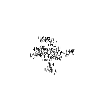 C[C@@H](CN[C@@H]1CC=C(CNC(=O)OCc2ccc([N+](=O)[O-])cc2)O[C@@H]1O[C@H]1[C@H](O)[C@@H](O[C@H]2OC[C@](C)(O)[C@H](N(C)C(=O)OC(C)(C)C)[C@H]2O)[C@H](NC(=O)[C@@H](O)CCNC(=O)OC(C)(C)C)C[C@@H]1NC(=O)OC(C)(C)C)NC(=O)OC(C)(C)C